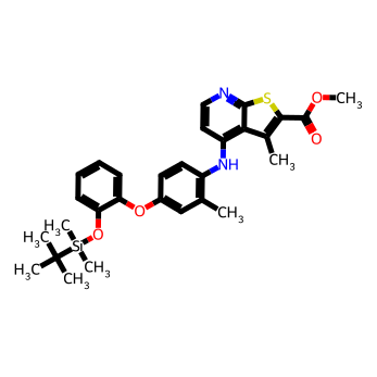 COC(=O)c1sc2nccc(Nc3ccc(Oc4ccccc4O[Si](C)(C)C(C)(C)C)cc3C)c2c1C